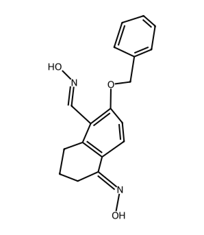 ON=Cc1c(OCc2ccccc2)ccc2c1CCCC2=NO